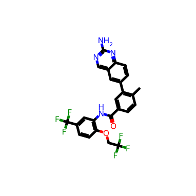 Cc1ccc(C(=O)Nc2cc(C(F)(F)F)ccc2OCC(F)(F)F)cc1-c1ccc2nc(N)ncc2c1